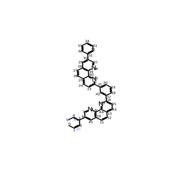 C/C=C\C(=C/C)c1cnc2c(ccc3ccc(-c4cccc(-c5ccc6ccc7cc(-c8ccccc8)cnc7c6n5)c4)nc32)c1